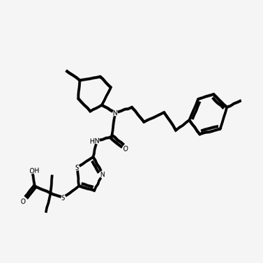 Cc1ccc(CCCCN(C(=O)Nc2ncc(SC(C)(C)C(=O)O)s2)C2CCC(C)CC2)cc1